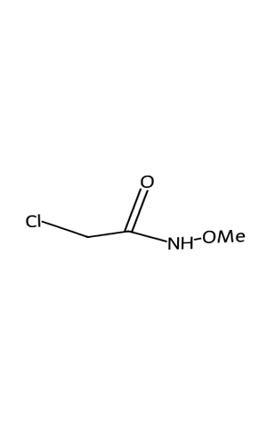 CONC(=O)CCl